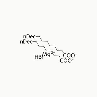 Br.CCCCCCCCCCCCCCCCCC(=O)[O-].CCCCCCCCCCCCCCCCCC(=O)[O-].[Mg+2]